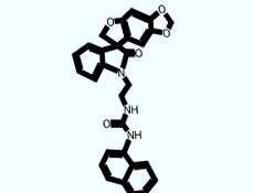 O=C(NCCN1C(=O)C2(COc3cc4c(cc32)OCO4)c2ccccc21)Nc1cccc2ccccc12